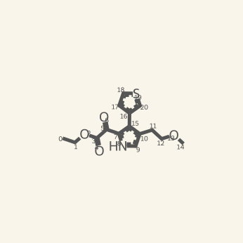 CCOC(=O)C(=O)c1[nH]cc(CCOC)c1-c1ccsc1